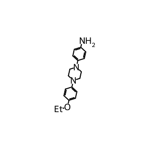 CCOc1ccc(N2CCN(c3ccc(N)cc3)CC2)cc1